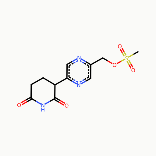 CS(=O)(=O)OCc1cnc(C2CCC(=O)NC2=O)cn1